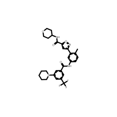 Cc1ccc(NC(=O)c2cc(N3CCCCC3)cc(C(F)(F)F)c2)cc1-c1cc(C(=O)NC2CCOCC2)on1